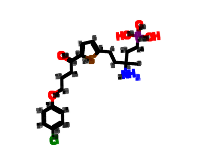 CC(N)(CCc1ccc(C(=O)CCCOc2ccc(Cl)cc2)s1)CCP(=O)(O)O